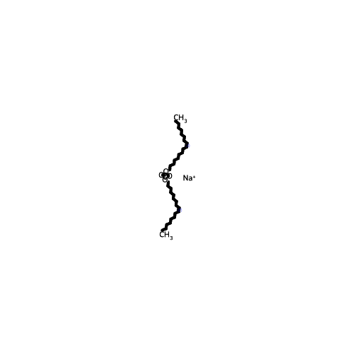 CCCCCCCC/C=C\CCCCCCCCOP(=O)([O-])OCCCCCCCC/C=C\CCCCCCCC.[Na+]